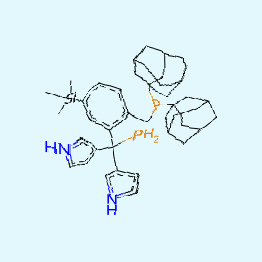 C[Si](C)(C)c1ccc(CP(C23CC4CC(CC(C4)C2)C3)C23CC4CC(CC(C4)C2)C3)c(C(P)(c2cc[nH]c2)c2cc[nH]c2)c1